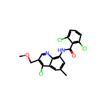 COCc1cnc2c(NC(=O)c3c(Cl)cccc3Cl)cc(C)cc2c1Cl